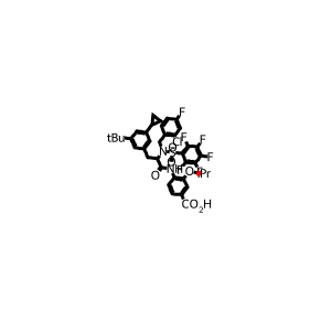 CC(C)Oc1cc(C(=O)O)ccc1NC(=O)C(Cc1cc(C2CC2)cc(C(C)(C)C)c1)N(Cc1ccc(F)cc1Cl)S(=O)(=O)c1c(F)c(F)c(F)c(F)c1F